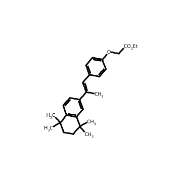 CCOC(=O)COc1ccc(C=C(C)c2ccc3c(c2)C(C)(C)CCC3(C)C)cc1